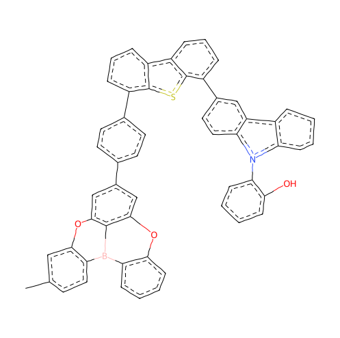 Cc1ccc2c(c1)Oc1cc(-c3ccc(-c4cccc5c4sc4c(-c6ccc7c(c6)c6ccccc6n7-c6ccccc6O)cccc45)cc3)cc3c1B2c1ccccc1O3